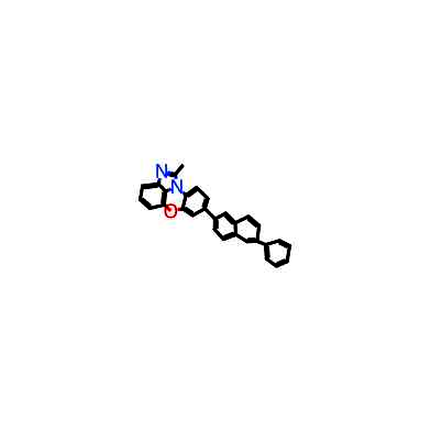 Cc1nc2cccc3c2n1-c1ccc(-c2ccc4cc(-c5ccccc5)ccc4c2)cc1O3